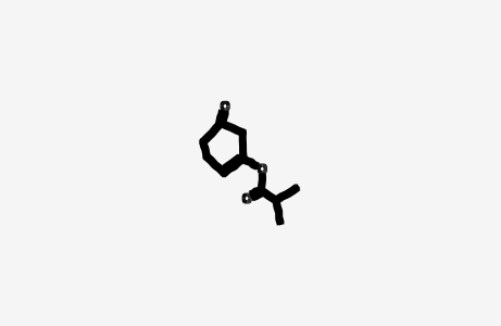 CC(C)C(=O)OC1=CCCC(=O)C1